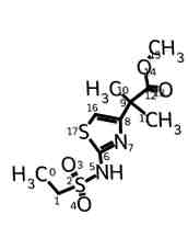 CCS(=O)(=O)Nc1nc(C(C)(C)C(=O)OC)cs1